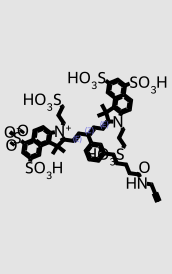 C#CCNC(=O)CCCCc1cccc(C(=C\C=C2\N(CCCS(=O)(=O)O)c3ccc4c(S(=O)(=O)O)cc(S(=O)(=O)O)cc4c3C2(C)C)/C=C/C2=[N+](CCCS(=O)(=O)O)c3ccc4c(S(=O)(=O)[O-])cc(S(=O)(=O)O)cc4c3C2(C)C)c1